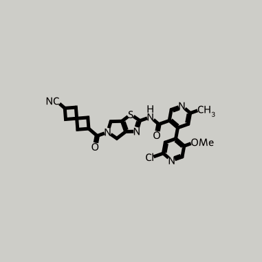 COc1cnc(Cl)cc1-c1cc(C)ncc1C(=O)Nc1nc2c(s1)CN(C(=O)C1CC3(CC(C#N)C3)C1)C2